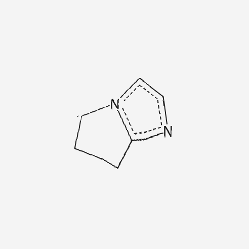 [CH]1CCc2nccn21